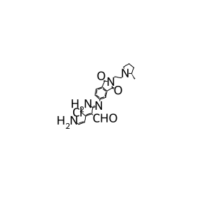 C[C@@H]1CCCN1CCN1C(=O)c2ccc(/N=C(N)/C(C=O)=C(Cl)/C=C\N)cc2C1=O